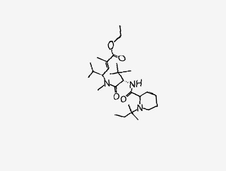 CCOC(=O)/C(C)=C/[C@H](C(C)C)N(C)C(=O)[C@@H](NC(=O)C1CCCCN1C(C)(C)CC)C(C)(C)C